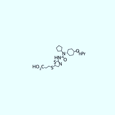 CCCO[C@H]1CC[C@H](N(C(=O)NC2=NCC(SCCC(=O)O)S2)C2CCCC2)CC1